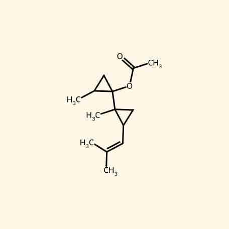 CC(=O)OC1(C2(C)CC2C=C(C)C)CC1C